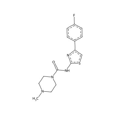 CN1CCN(C(=O)Nc2nc(-c3ccc(F)cc3)cs2)CC1